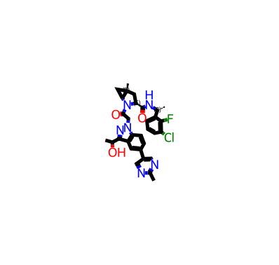 Cc1ncc(-c2ccc3c(c2)c(C(C)O)nn3CC(=O)N2C3C[C@]3(C)C[C@H]2C(=O)N[C@H](C)c2cccc(Cl)c2F)cn1